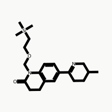 CC1CCC(c2ccc3c(c2)CCC(=O)N3COCC[Si](C)(C)C)=NC1